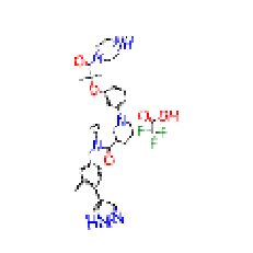 Cc1cc(CN(C(=O)C2CCCN(c3cccc(OC(C)(C)C(=O)N4CCNCC4)c3)C2)C2CC2)ccc1-c1cn[nH]c1.O=C(O)C(F)(F)F